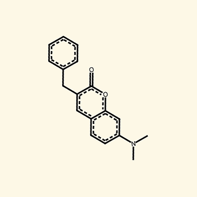 CN(C)c1ccc2cc(Cc3ccccc3)c(=O)oc2c1